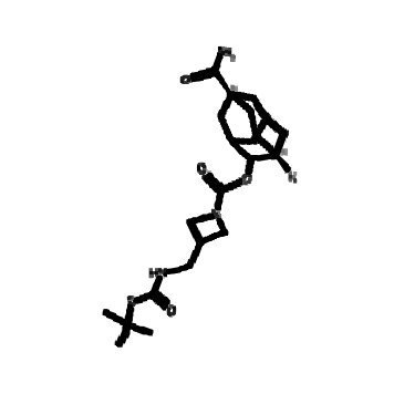 CC(C)(C)OC(=O)NCC1CN(C(=O)OC2C3CC4C[C@H]2C[C@@](C(N)=O)(C4)C3)C1